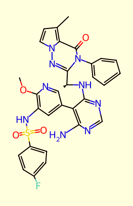 COc1ncc(-c2c(N)ncnc2N[C@@H](C)c2nn3ccc(C)c3c(=O)n2-c2ccccc2)cc1NS(=O)(=O)c1ccc(F)cc1